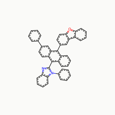 c1ccc(-c2ccc3c(-c4nc5ccccc5n4-c4ccccc4)c4ccccc4c(-c4ccc5oc6ccccc6c5c4)c3c2)cc1